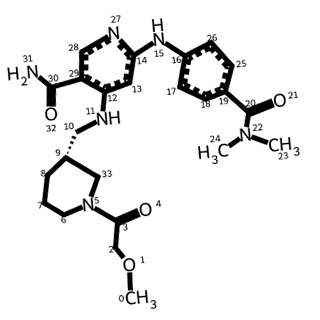 COCC(=O)N1CCC[C@H](CNc2cc(Nc3ccc(C(=O)N(C)C)cc3)ncc2C(N)=O)C1